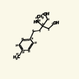 CNC(CO)(CO)CCc1ccc(C)cc1